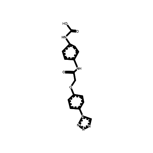 O=C(O)Nc1ccc(NC(=O)COc2ccc(-n3cnnn3)cc2)cc1